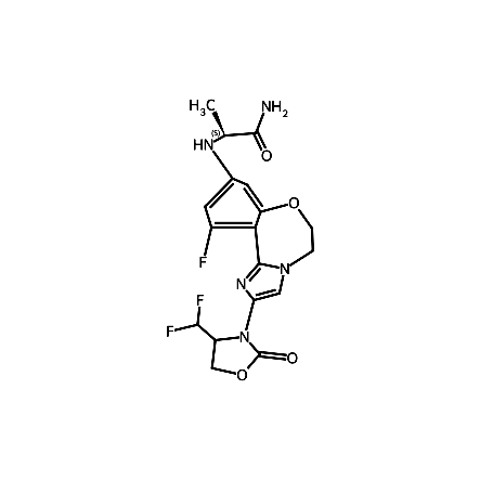 C[C@H](Nc1cc(F)c2c(c1)OCCn1cc(N3C(=O)OCC3C(F)F)nc1-2)C(N)=O